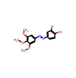 COc1cc(N=Nc2ccc(O)c(Br)c2)cc(OC)c1OC